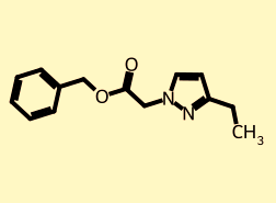 CCc1ccn(CC(=O)OCc2ccccc2)n1